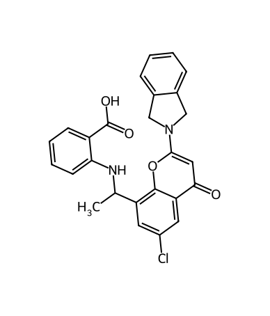 CC(Nc1ccccc1C(=O)O)c1cc(Cl)cc2c(=O)cc(N3Cc4ccccc4C3)oc12